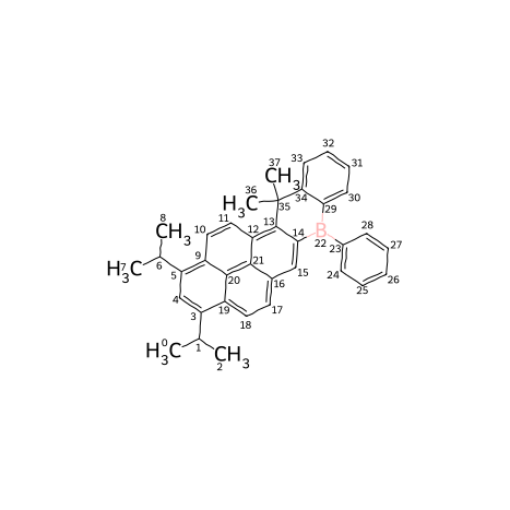 CC(C)c1cc(C(C)C)c2ccc3c4c(cc5ccc1c2c53)B(c1ccccc1)c1ccccc1C4(C)C